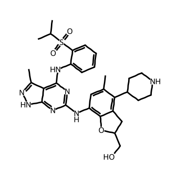 Cc1cc(Nc2nc(Nc3ccccc3S(=O)(=O)C(C)C)c3c(C)n[nH]c3n2)c2c(c1C1CCNCC1)CC(CO)O2